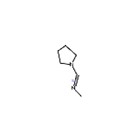 C/N=C/N1CCCC1